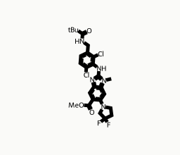 COC(=O)c1cc2nc(Nc3c(Cl)ccc(CNC(=O)C(C)(C)C)c3Cl)n(C)c2cc1N1CCC(F)(F)C1